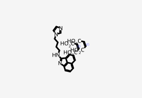 O=C(O)/C=C\C(=O)O.O=C(O)/C=C\C(=O)O.c1cc2c3c(cccc3c1)C(NCCCCn1ccnc1)=N2